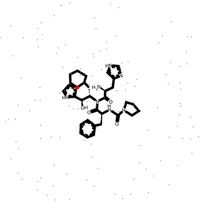 N[C@@H](Cc1c[nH]cn1)C(=O)N(C(=O)[C@H](Cc1ccccc1)NC(=O)N1CCCC1)[C@@H](CC1CCCCC1)[C@@H](O)c1ncc[nH]1